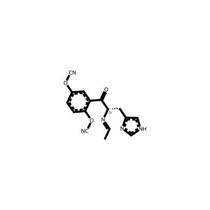 CC=N[C@@H](Cc1c[nH]cn1)C(=O)c1cc(OC#N)ccc1OC#N